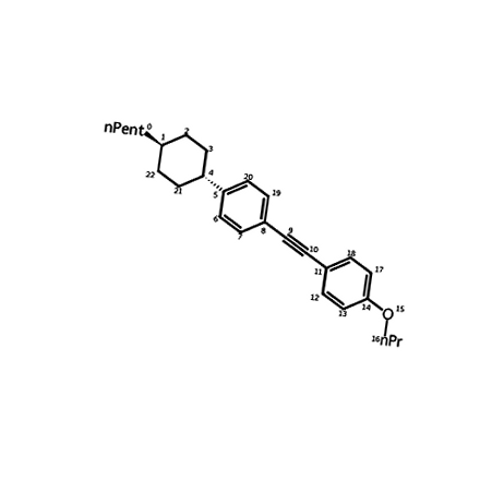 CCCCC[C@H]1CC[C@H](c2ccc(C#Cc3ccc(OCCC)cc3)cc2)CC1